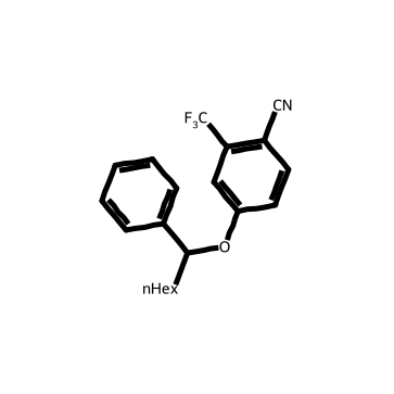 CCCCCCC(Oc1ccc(C#N)c(C(F)(F)F)c1)c1ccccc1